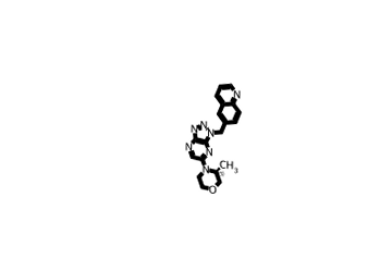 C[C@H]1COCCN1c1cnc2nnn(Cc3ccc4ncccc4c3)c2n1